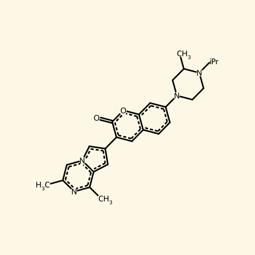 Cc1cn2cc(-c3cc4ccc(N5CCN(C(C)C)C(C)C5)cc4oc3=O)cc2c(C)n1